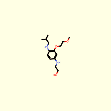 COCCOc1cc(NCCO)ccc1NCC(C)C